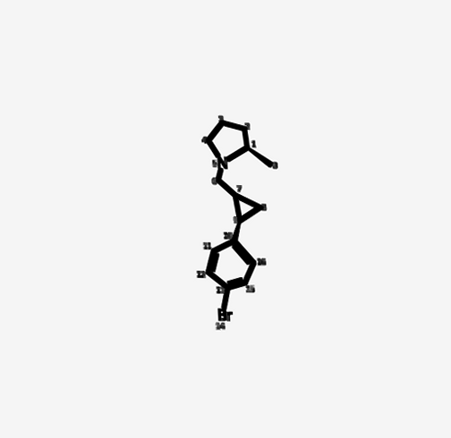 C[C@@H]1CCCN1CC1C[C@H]1c1ccc(Br)cc1